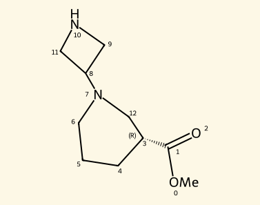 COC(=O)[C@@H]1CCCN(C2CNC2)C1